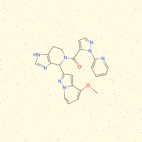 COc1cccn2nc(C3c4nc[nH]c4CCN3C(=O)c3ccnn3-c3ccccn3)cc12